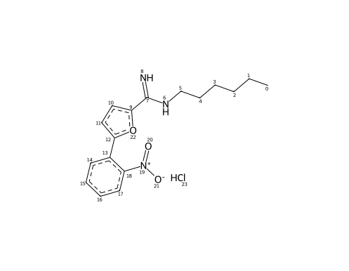 CCCCCCNC(=N)c1ccc(-c2ccccc2[N+](=O)[O-])o1.Cl